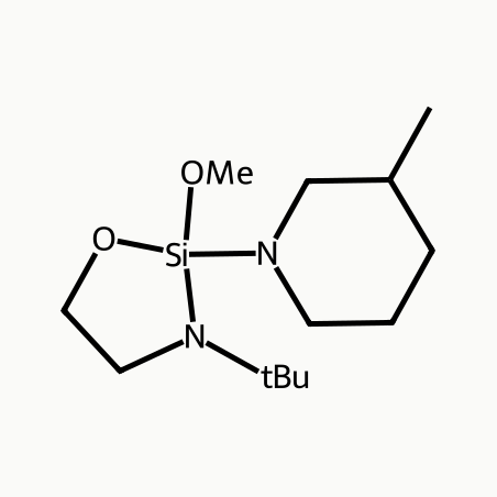 CO[Si]1(N2CCCC(C)C2)OCCN1C(C)(C)C